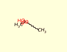 CCCCCCCCCCCCOC(CO)COC